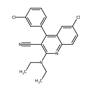 CCN(CC)c1nc2ccc(Cl)cc2c(-c2cccc(Cl)c2)c1C#N